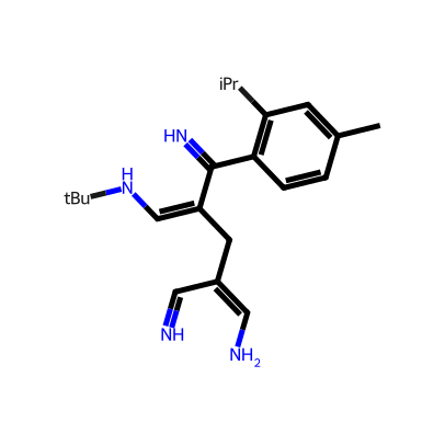 Cc1ccc(C(=N)/C(=C\NC(C)(C)C)C/C(C=N)=C/N)c(C(C)C)c1